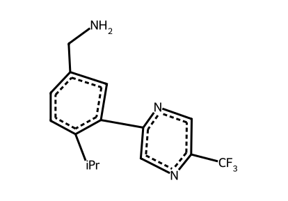 CC(C)c1ccc(CN)cc1-c1cnc(C(F)(F)F)cn1